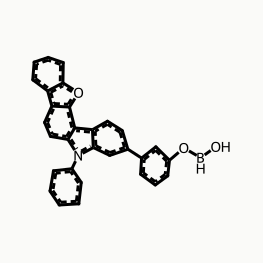 OBOc1cccc(-c2ccc3c4c5oc6ccccc6c5ccc4n(-c4ccccc4)c3c2)c1